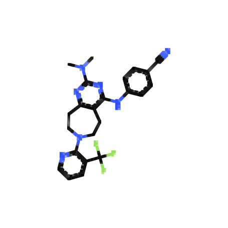 CN(C)c1nc2c(c(Nc3ccc(C#N)cc3)n1)CCN(c1ncccc1C(F)(F)F)CC2